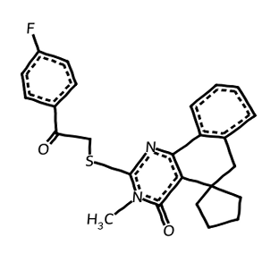 Cn1c(SCC(=O)c2ccc(F)cc2)nc2c(c1=O)C1(CCCC1)Cc1ccccc1-2